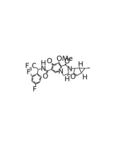 COc1c2n(cc(C(=O)N[C@@H](c3ccc(F)cc3F)C(F)(F)F)c1=O)C[C@H]1OC3CC([C@H]4[C@@H](C)[C@@H]34)N1C2=O